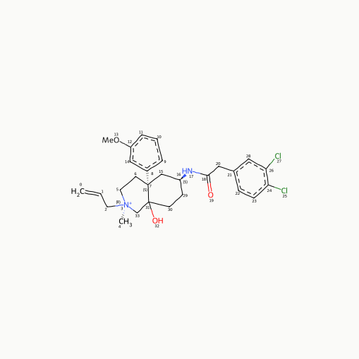 C=CC[N@@+]1(C)CC[C@@]2(c3cccc(OC)c3)C[C@@H](NC(=O)Cc3ccc(Cl)c(Cl)c3)CCC2(O)C1